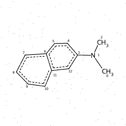 CN(C)c1ccc2cc[c]cc2c1